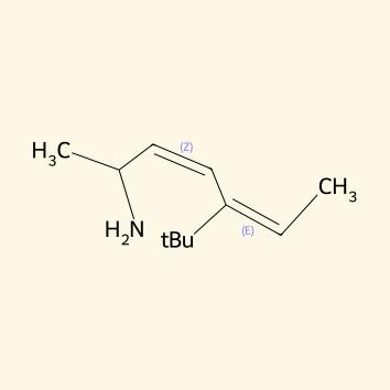 C/C=C(\C=C/C(C)N)C(C)(C)C